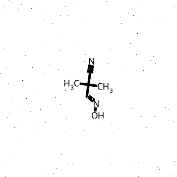 CC(C)(C#N)C=NO